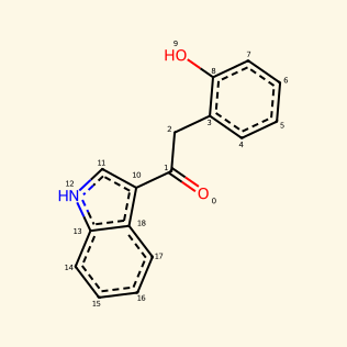 O=C(Cc1ccccc1O)c1c[nH]c2ccccc12